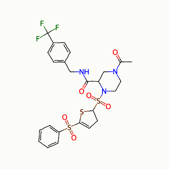 CC(=O)N1CCN(S(=O)(=O)C2CC=C(S(=O)(=O)c3ccccc3)S2)C(C(=O)NCc2ccc(C(F)(F)F)cc2)C1